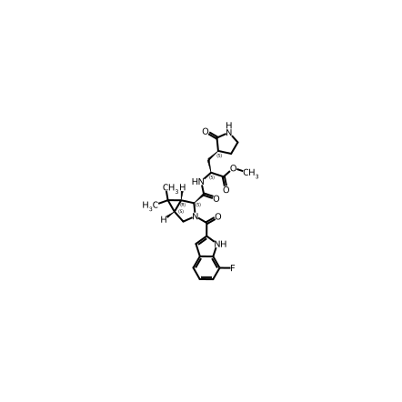 COC(=O)[C@H](C[C@@H]1CCNC1=O)NC(=O)[C@@H]1[C@@H]2[C@H](CN1C(=O)c1cc3cccc(F)c3[nH]1)C2(C)C